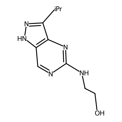 CC(C)c1n[nH]c2cnc(NCCO)nc12